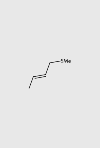 C/C=C/CSC